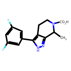 CC1c2n[nH]c(-c3cc(F)cc(F)c3)c2CCN1C(=O)O